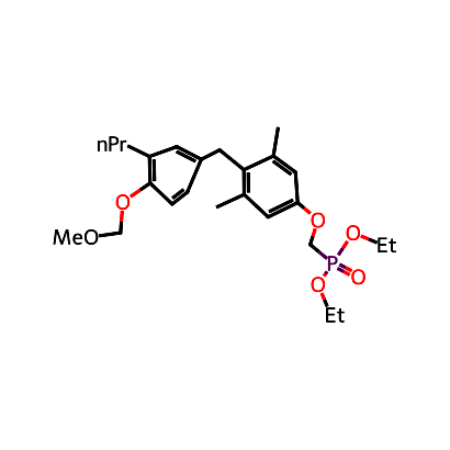 CCCc1cc(Cc2c(C)cc(OCP(=O)(OCC)OCC)cc2C)ccc1OCOC